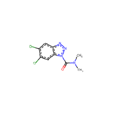 CN(C)C(=O)n1nnc2cc(Cl)c(Cl)cc21